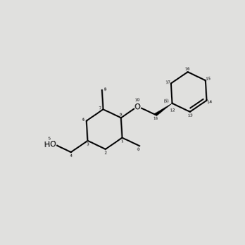 CC1CC(CO)CC(C)C1OC[C@@H]1C=CCCC1